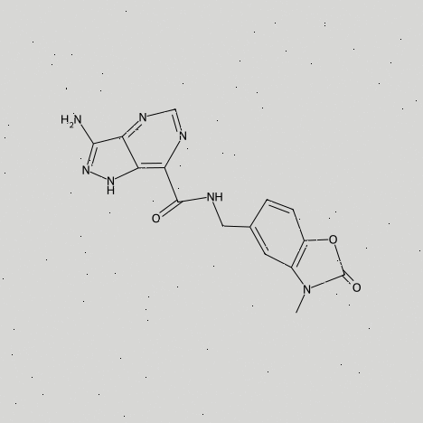 Cn1c(=O)oc2ccc(CNC(=O)c3ncnc4c(N)n[nH]c34)cc21